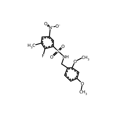 COc1ccc(CNS(=O)(=O)c2cc([N+](=O)[O-])cc(C)c2F)c(OC)c1